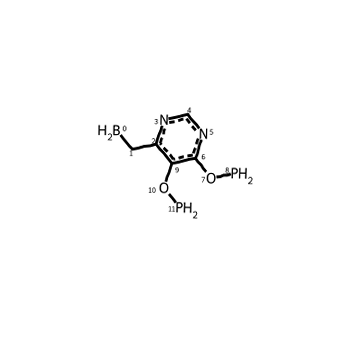 BCc1ncnc(OP)c1OP